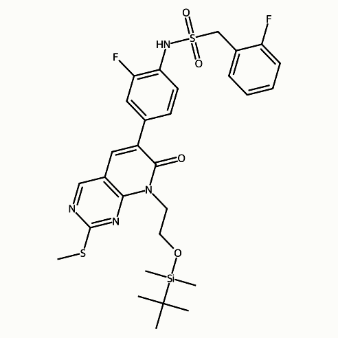 CSc1ncc2cc(-c3ccc(NS(=O)(=O)Cc4ccccc4F)c(F)c3)c(=O)n(CCO[Si](C)(C)C(C)(C)C)c2n1